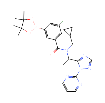 CC(c1ncnn1-c1ncccn1)N(CC1CC1)C(=O)c1cc(Cl)cc(B2OC(C)(C)C(C)(C)O2)c1